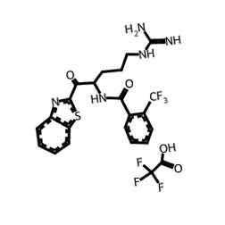 N=C(N)NCCCC(NC(=O)c1ccccc1C(F)(F)F)C(=O)c1nc2ccccc2s1.O=C(O)C(F)(F)F